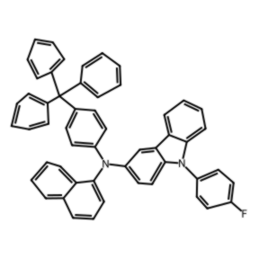 Fc1ccc(-n2c3ccccc3c3cc(N(c4ccc(C(c5ccccc5)(c5ccccc5)c5ccccc5)cc4)c4cccc5ccccc45)ccc32)cc1